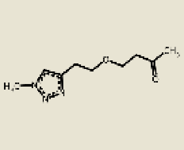 CC(=O)CCOCCc1cn(C)nn1